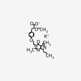 CCCc1nn(C)c2c(=O)n(CCOc3ccc(CC(OCC)C(=O)[O-])cc3)c(C)nc12.[K+]